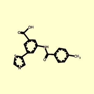 Cc1ccc(C(=O)Nc2cc(C(=O)O)cc(-c3cncs3)c2)cc1